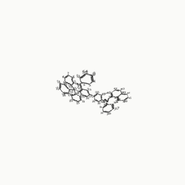 c1ccc(N2c3ccccc3C(c3ccccc3)(c3ccccc3)c3ccc(-c4ccc(N(c5ccccc5)c5cccc6ccccc56)cc4)cc32)cc1